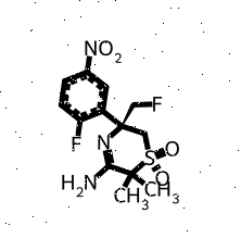 CC1(C)C(N)=N[C@](CF)(c2cc([N+](=O)[O-])ccc2F)CS1(=O)=O